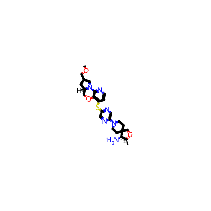 COCC1C[C@H]2COc3c(Sc4cnc(N5CCC6(CC5)CO[C@@H](C)[C@H]6N)cn4)ccnc3N2C1